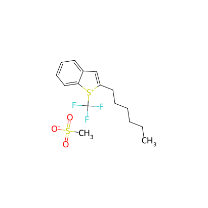 CCCCCCc1cc2ccccc2[s+]1C(F)(F)F.CS(=O)(=O)[O-]